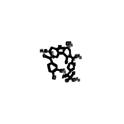 C[C@@H]1Cc2nn3c(c2CN1C(=O)c1ccc(Cl)c(C(F)(F)F)c1)C(=O)N([C@@H](C)c1ccc(NS(C)(=O)=O)cn1)C[C@H]3C